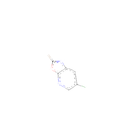 Fc1cnc2oc(=S)[nH]c2c1